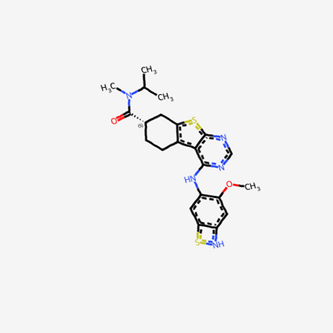 COc1cc2[nH]sc2cc1Nc1ncnc2sc3c(c12)CC[C@H](C(=O)N(C)C(C)C)C3